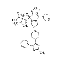 COCP(=O)(NC(C)(C(=O)O)C(C)C)N1C[C@@H](N2CCN(c3cc(C)nn3-c3ccccc3)CC2)C[C@H]1C(=O)N1CCSC1